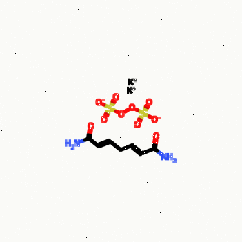 NC(=O)C=CCC=CC(N)=O.O=S(=O)([O-])OOS(=O)(=O)[O-].[K+].[K+]